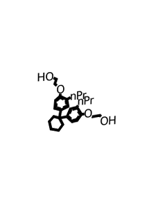 CCCc1cc(C2(c3ccc(OCCO)c(CCC)c3)CCCCC2)ccc1OCCO